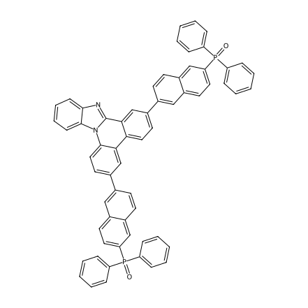 O=P(c1ccccc1)(c1ccccc1)c1ccc2cc(-c3ccc4c(c3)c3ccc(-c5ccc6cc(P(=O)(c7ccccc7)c7ccccc7)ccc6c5)cc3c3nc5ccccc5n43)ccc2c1